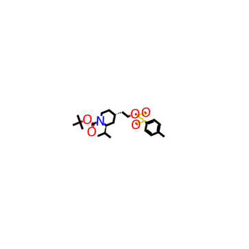 Cc1ccc(S(=O)(=O)OCC[C@H]2CCN(C(=O)OC(C)(C)C)[C@H](C(C)C)C2)cc1